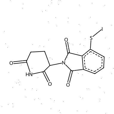 O=C1CCC(N2C(=O)c3cccc(SI)c3C2=O)C(=O)N1